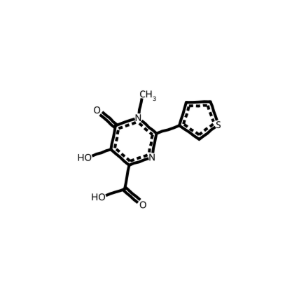 Cn1c(-c2ccsc2)nc(C(=O)O)c(O)c1=O